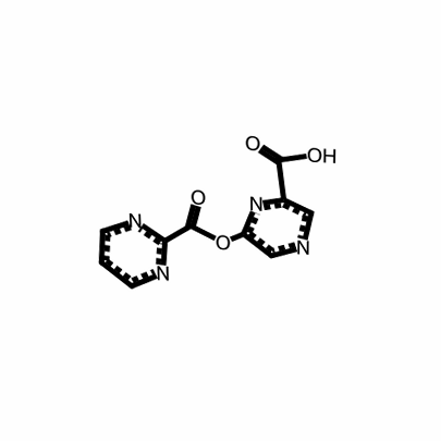 O=C(O)c1cncc(OC(=O)c2ncccn2)n1